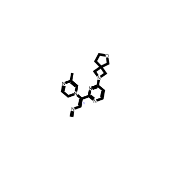 C=N/C=C(/c1nccc(N2CC3(CCOC3)C2)n1)N1C=C(C)N=CC1